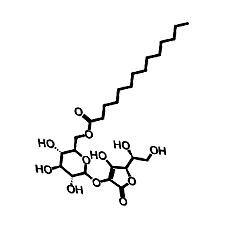 CCCCCCCCCCCCCC(=O)OC[C@H]1OC(OC2=C(O)[C@@H]([C@@H](O)CO)OC2=O)[C@H](O)[C@@H](O)[C@@H]1O